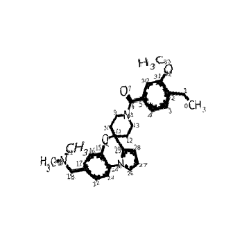 CCc1ccc(C(=O)N2CCC3(CC2)Oc2cc(CN(C)C)ccc2-n2cccc23)cc1OC